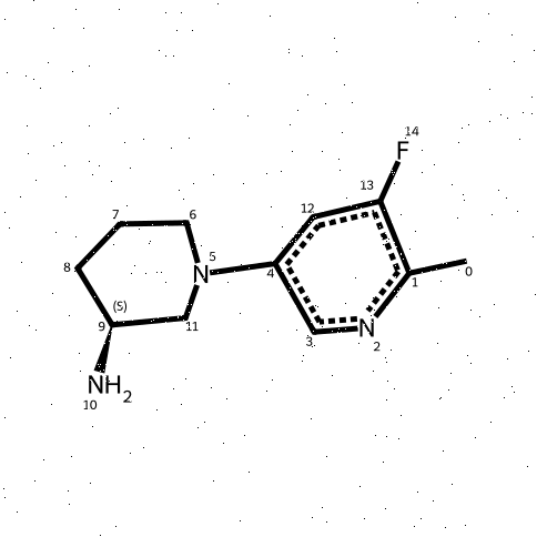 Cc1ncc(N2CCC[C@H](N)C2)cc1F